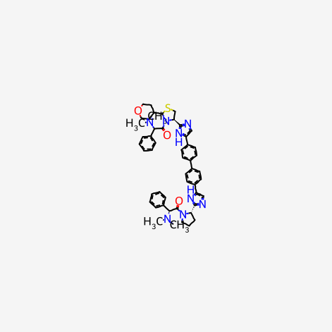 CN(C)C(C(=O)N1C(C2CCOCC2)SC[C@H]1c1ncc(-c2ccc(-c3ccc(-c4cnc([C@@H]5CCCN5C(=O)[C@@H](c5ccccc5)N(C)C)[nH]4)cc3)cc2)[nH]1)c1ccccc1